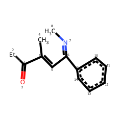 CCC(=O)/C(C)=C/C(=N\C)c1ccccc1